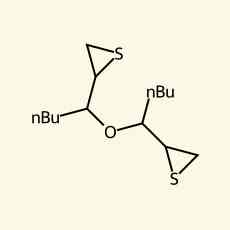 CCCCC(OC(CCCC)C1CS1)C1CS1